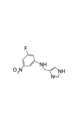 O=[N+]([O-])c1cc(F)cc(NCc2c[nH]cn2)c1